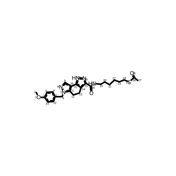 COc1ccc(Cn2ncc3c2CCc2c(C(=O)NCCCCCCSC(C)=O)n[nH]c2-3)cc1